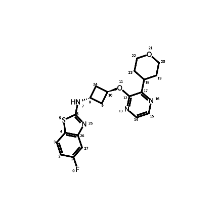 Fc1ccc2sc(N[C@H]3C[C@H](Oc4nccnc4C4CCOCC4)C3)nc2c1